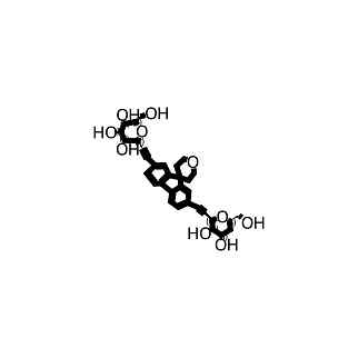 OC[C@@H]1C[C@H](O)[C@H](O)[C@@H](C#Cc2ccc3c(c2)C2(CCOCC2)c2cc(C#C[C@H]4O[C@H](CO)[C@@H](O)[C@H](O)[C@@H]4O)ccc2-3)O1